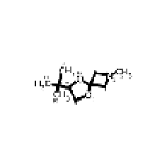 CN1CC2(C1)OCC(C(C)(C)C)O2